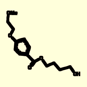 COCCOc1ccc(C(=O)OCCCCO)cc1